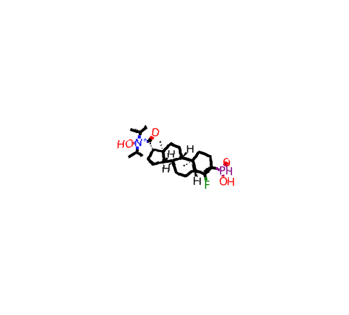 CC(C)[N+](O)(C(=O)[C@H]1CC[C@H]2[C@@H]3CC[C@H]4C(F)=C([PH](=O)O)CC[C@]4(C)[C@H]3CC[C@]12C)C(C)C